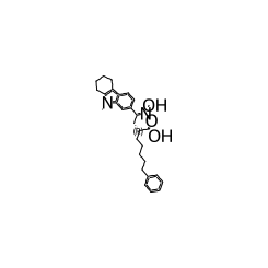 Cn1c2c(c3ccc(C(C[C@@H](CCCCCc4ccccc4)C(=O)O)=NO)cc31)CCCC2